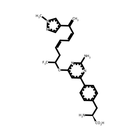 C=C(/C=C\C=C/CC(Oc1cc(-c2ccc(C[C@H](N)C(=O)O)cc2)nc(N)n1)C(F)(F)F)c1cnn(C)c1